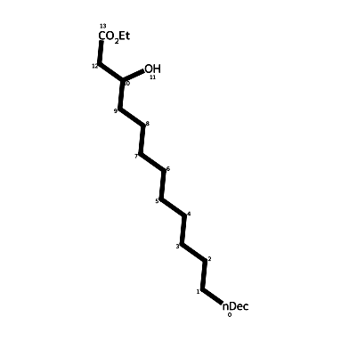 CCCCCCCCCCCCCCCCCCCC(O)CC(=O)OCC